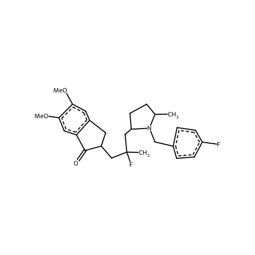 COc1cc2c(cc1OC)C(=O)C(CC(C)(F)CC1CCC(C)N1Cc1ccc(F)cc1)C2